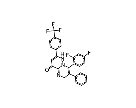 O=C1C=C(c2ccc(C(F)(F)F)cc2)NN2C1=NCC(c1ccccc1)=C2c1ccc(F)cc1F